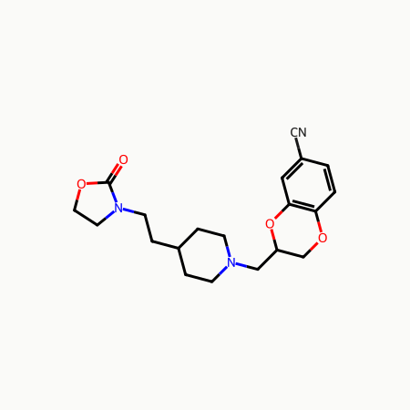 N#Cc1ccc2c(c1)OC(CN1CCC(CCN3CCOC3=O)CC1)CO2